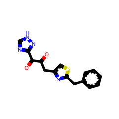 O=C(Cc1csc(Cc2ccccc2)n1)C(=O)c1nc[nH]n1